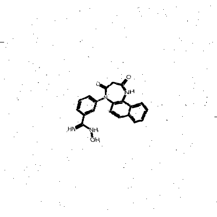 N=C(NO)c1cccc(N2C(=O)CC(=O)Nc3c2ccc2ccccc32)c1